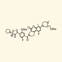 COC[C@H]1CN(c2cc(F)c3c4c(c(=O)oc3c2C)CN(C(=O)c2cc(OC)c(C(=O)NS(=O)(=O)N3CCCC3)cc2F)CC4)CCN1C